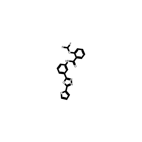 O=C(Nc1cccc(-c2nnc(-c3ccco3)o2)c1)c1ccccc1OC(F)F